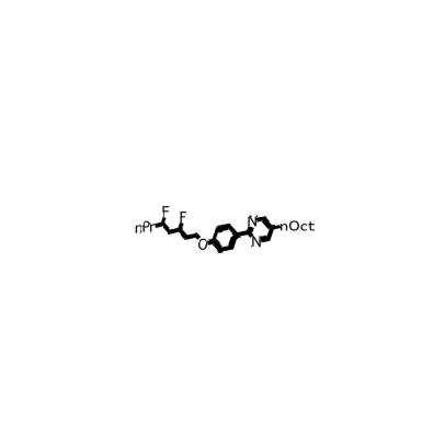 CCCCCCCCc1cnc(-c2ccc(OCCC(F)CC(F)CCC)cc2)nc1